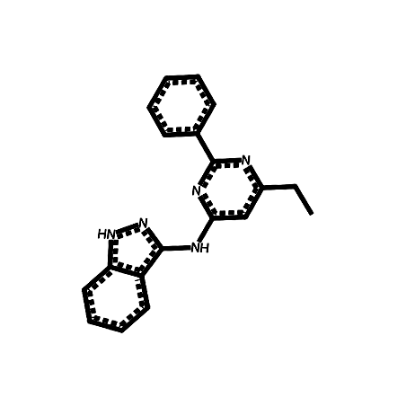 CCc1cc(Nc2n[nH]c3ccccc23)nc(-c2ccccc2)n1